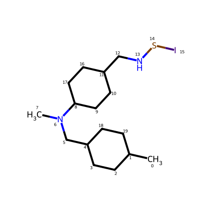 CC1CCC(CN(C)C2CCC(CNSI)CC2)CC1